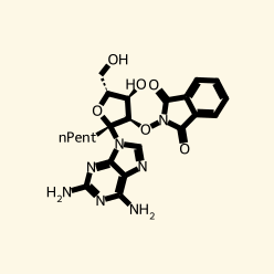 CCCCC[C@@]1(n2cnc3c(N)nc(N)nc32)O[C@H](CO)[C@@H](O)[C@H]1ON1C(=O)c2ccccc2C1=O